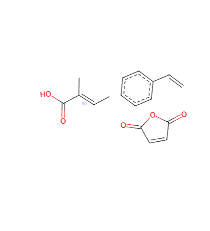 C/C=C(\C)C(=O)O.C=Cc1ccccc1.O=C1C=CC(=O)O1